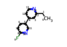 CCc1cc(-c2ccc(F)nc2)ccn1